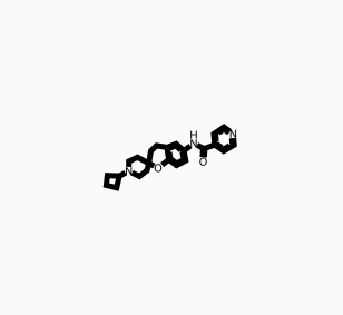 O=C(Nc1ccc2c(c1)CCC1(CCN(C3CCC3)CC1)O2)c1ccncc1